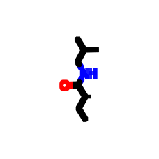 CC[CH]C(=O)NCC(C)C